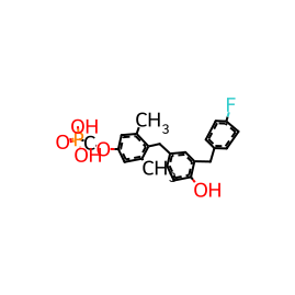 Cc1cc(OCP(=O)(O)O)cc(C)c1Cc1ccc(O)c(Cc2ccc(F)cc2)c1